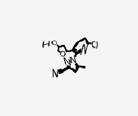 Cc1cc(C#N)nn1-c1nc(Cl)ccc1C1CC(O)CO1